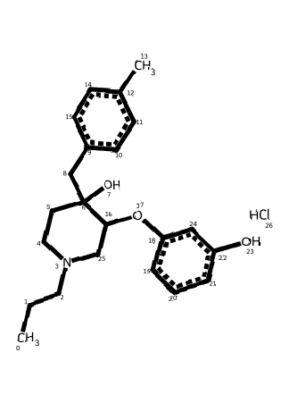 CCCN1CCC(O)(Cc2ccc(C)cc2)C(Oc2cccc(O)c2)C1.Cl